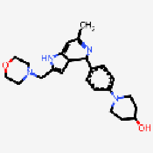 CC1=NC(c2ccc(N3CCC(O)CC3)cc2)C2C=C(CN3CCOCC3)NC2=C1